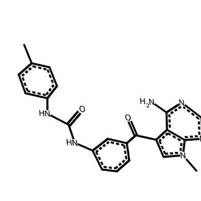 Cc1ccc(NC(=O)Nc2cccc(C(=O)c3cn(C)c4ncnc(N)c34)c2)cc1